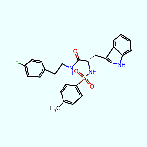 Cc1ccc(S(=O)(=O)N[C@@H](Cc2c[nH]c3ccccc23)C(=O)NCCc2ccc(F)cc2)cc1